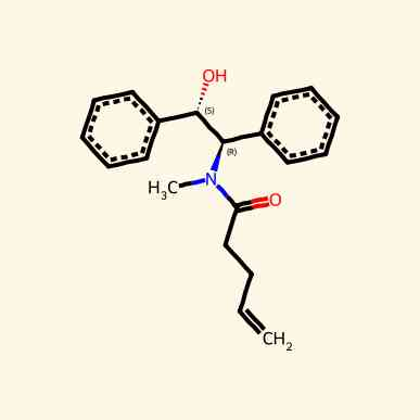 C=CCCC(=O)N(C)[C@H](c1ccccc1)[C@@H](O)c1ccccc1